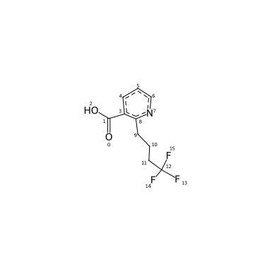 O=C(O)c1cccnc1CCCC(F)(F)F